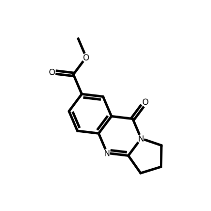 COC(=O)c1ccc2nc3n(c(=O)c2c1)CCC3